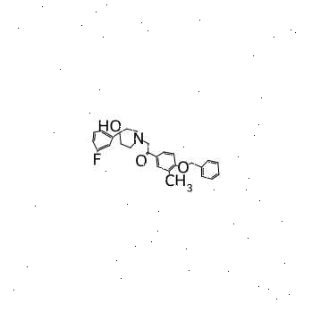 Cc1cc(C(=O)CN2CCC(O)(c3cccc(F)c3)CC2)ccc1OCc1ccccc1